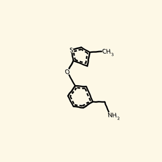 Cc1csc(Oc2cccc(CN)c2)c1